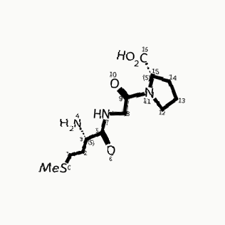 CSCC[C@H](N)C(=O)NCC(=O)N1CCC[C@H]1C(=O)O